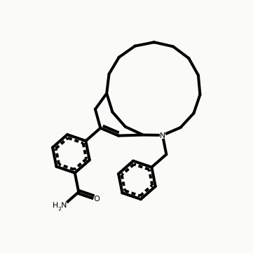 NC(=O)c1cccc(C2=CC3CCC(CCCCCCCCCCN3Cc3ccccc3)C2)c1